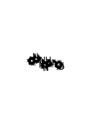 c1ccc2ncc(Nc3ncnc4c3CN(CC3CCOCC3)C4)cc2c1